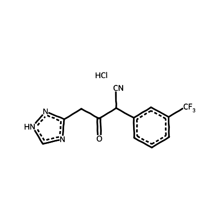 Cl.N#CC(C(=O)Cc1nc[nH]n1)c1cccc(C(F)(F)F)c1